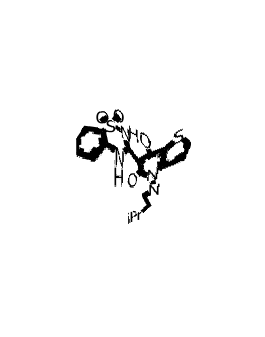 CC(C)CC=Nn1c(=O)c(C2=NS(=O)(=O)c3ccccc3N2)c(O)c2sccc21